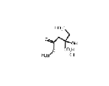 O=C(O)CC(O)(CC(=O)[O][BiH2])C(=O)O.[KH]